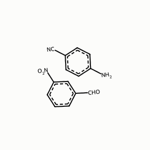 N#Cc1ccc(N)cc1.O=Cc1cccc([N+](=O)[O-])c1